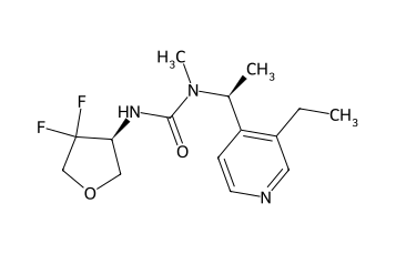 CCc1cnccc1[C@H](C)N(C)C(=O)N[C@H]1COCC1(F)F